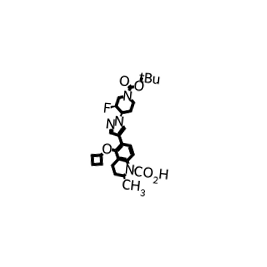 C[C@H]1CCc2c(ccc(-c3cnn([C@@H]4CCN(C(=O)OC(C)(C)C)C[C@@H]4F)c3)c2OC2CCC2)N1C(=O)O